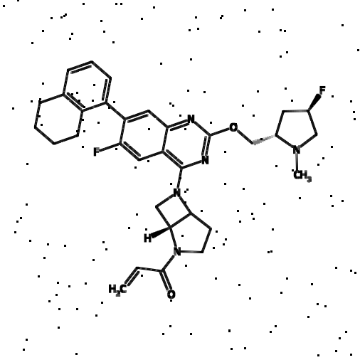 C=CC(=O)N1CCC2[C@H]1CN2c1nc(OC[C@@H]2C[C@@H](F)CN2C)nc2cc(-c3cccc4c3CCCC4)c(F)cc12